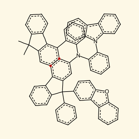 CC1(C)c2ccccc2-c2c(-c3ccccc3N(c3ccc4c(c3)C(c3ccccc3)(c3ccc5oc6ccccc6c5c3)c3ccccc3-4)c3ccccc3-n3c4ccccc4c4ccccc43)cccc21